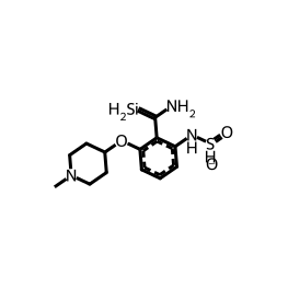 CN1CCC(Oc2cccc(N[SH](=O)=O)c2C(N)=[SiH2])CC1